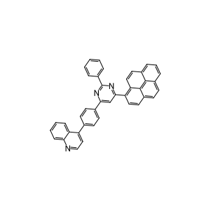 c1ccc(-c2nc(-c3ccc(-c4ccnc5ccccc45)cc3)cc(-c3ccc4ccc5cccc6ccc3c4c56)n2)cc1